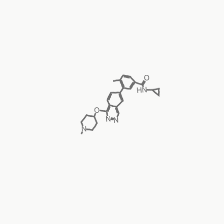 Cc1ccc(C(=O)NC2CC2)cc1-c1ccc2c(OC3CCN(C)CC3)nncc2c1